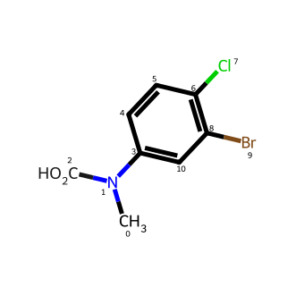 CN(C(=O)O)c1ccc(Cl)c(Br)c1